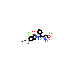 CC(=O)OC(c1cc(Br)c(=O)n(C)n1)c1ccccc1-n1ncc2cc(C(C)(C)C)cc(F)c2c1=O